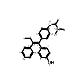 CC/C(=C(/c1ccc(O)cc1)c1ccc(OC(C)N(C)C)cc1)c1ccccc1